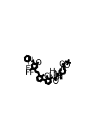 COc1cc(/C=C/c2cccc(-c3cccc(NC(=O)c4nc5c(n4C)CCN(C(=O)OC(C)(C)C)C5)c3Cl)c2C)c(C(F)(F)F)cc1CN1CCCC[C@H]1C